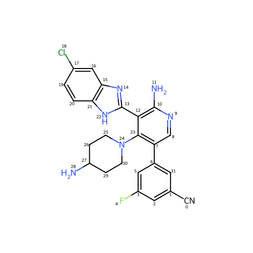 N#Cc1cc(F)cc(-c2cnc(N)c(-c3nc4cc(Cl)ccc4[nH]3)c2N2CCC(N)CC2)c1